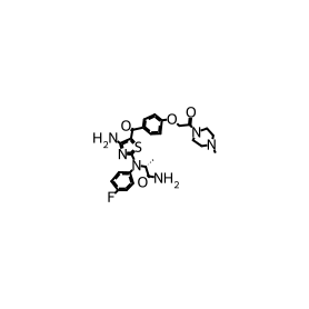 C[C@H](C(N)=O)N(c1ccc(F)cc1)c1nc(N)c(C(=O)c2ccc(OCC(=O)N3CCN(C)CC3)cc2)s1